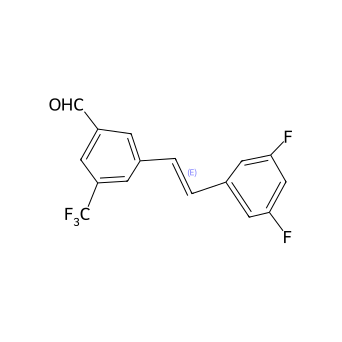 O=Cc1cc(/C=C/c2cc(F)cc(F)c2)cc(C(F)(F)F)c1